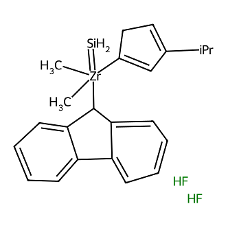 CC(C)C1=CC[C]([Zr]([CH3])([CH3])(=[SiH2])[CH]2c3ccccc3-c3ccccc32)=C1.F.F